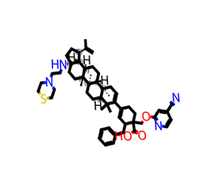 C=C(C)[C@@H]1CC[C@]2(NCCN3CCSCC3)CC[C@]3(C)[C@H](CC[C@@H]4[C@@]5(C)CC=C(C6=CC(Cc7ccccc7)C(COc7cc(C#N)ccn7)(C(=O)O)CC6)C(C)(C)[C@@H]5CC[C@]43C)[C@@H]12